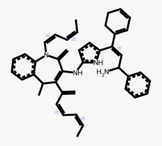 C=C(/C=C\C=C/C)C1=C(Nc2ccc(/C(=C\C(N)c3ccccc3)C3=CC=CCC3)[nH]2)C(=C)N(/C=C\C=C/C)c2ccccc2C1C